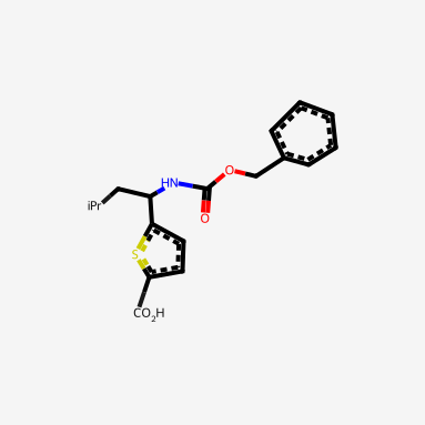 CC(C)CC(NC(=O)OCc1ccccc1)c1ccc(C(=O)O)s1